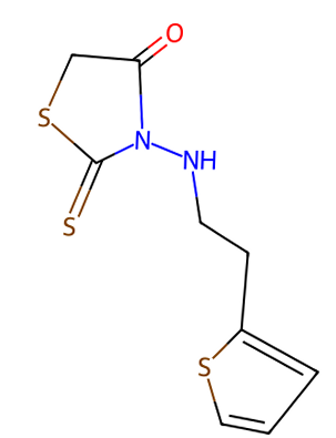 O=C1CSC(=S)N1NCCc1cccs1